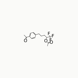 CC(=O)OC(CCCc1ccc(C(C)=O)cc1)C(F)(F)F